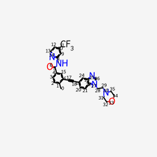 Cc1ccc(C(=O)Nc2cc(C(F)(F)F)ccn2)cc1C#Cc1ccc2c(c1)ncn2CCN1CCOCC1